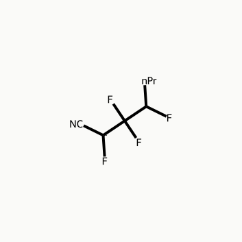 CCCC(F)C(F)(F)[C](F)C#N